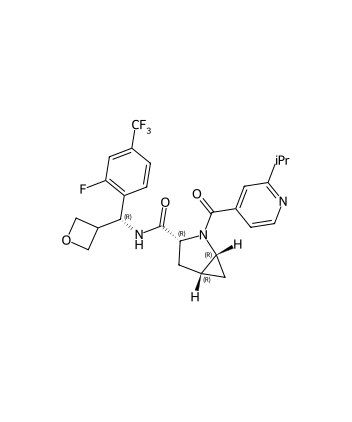 CC(C)c1cc(C(=O)N2[C@@H](C(=O)N[C@@H](c3ccc(C(F)(F)F)cc3F)C3COC3)C[C@H]3C[C@H]32)ccn1